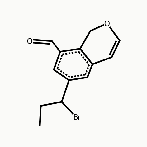 CCC(Br)c1cc(C=O)c2c(c1)C=COC2